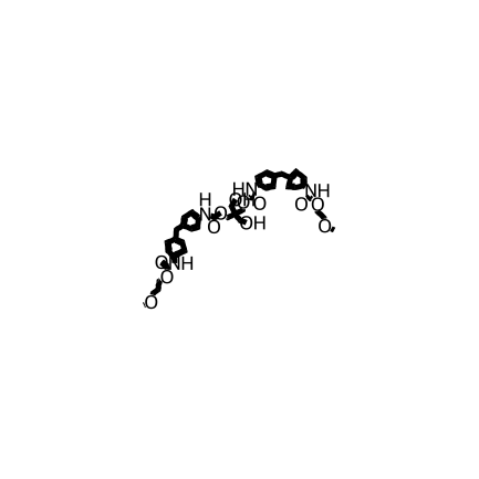 COCCCOC(=O)Nc1ccc(Cc2ccc(NC(=O)OCC(CO)(CO)COC(=O)Nc3ccc(Cc4ccc(NC(=O)OCCOC)cc4)cc3)cc2)cc1